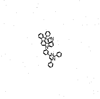 C1=CCC(C2(c3cccnc3)c3ccccc3-c3ccc4c(c32)c2ccccc2n4-c2cccc(-c3cc(-c4ccccc4)nc(-c4ccccc4)n3)c2)C=C1